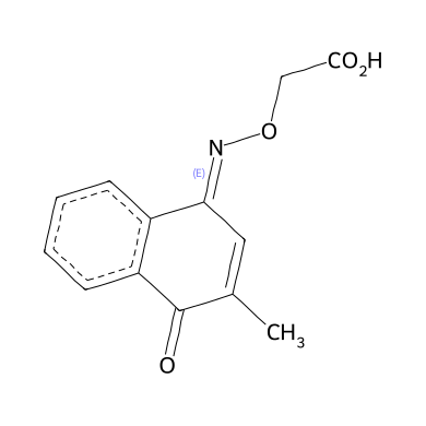 CC1=C/C(=N\OCC(=O)O)c2ccccc2C1=O